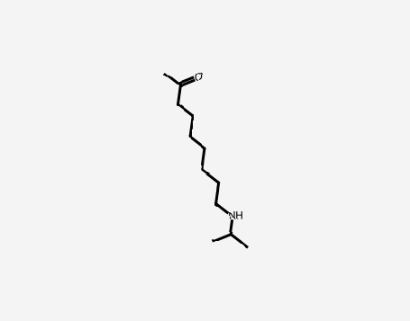 CC(=O)CCCCCCCNC(C)C